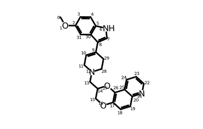 COc1ccc2[nH]cc(C3=CCN(CC4COc5ccc6ncccc6c5O4)CC3)c2c1